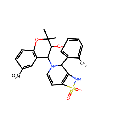 CC1(C)Oc2ccc([N+](=O)[O-])cc2C(N2C=CC3=C(NS3(=O)=O)C2c2ccccc2C(F)(F)F)C1O